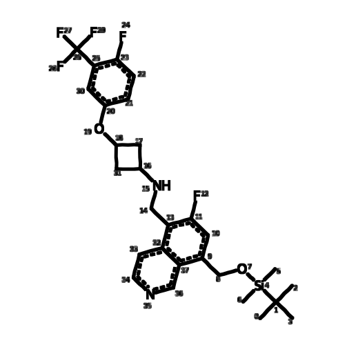 CC(C)(C)[Si](C)(C)OCc1cc(F)c(CNC2CC(Oc3ccc(F)c(C(F)(F)F)c3)C2)c2ccncc12